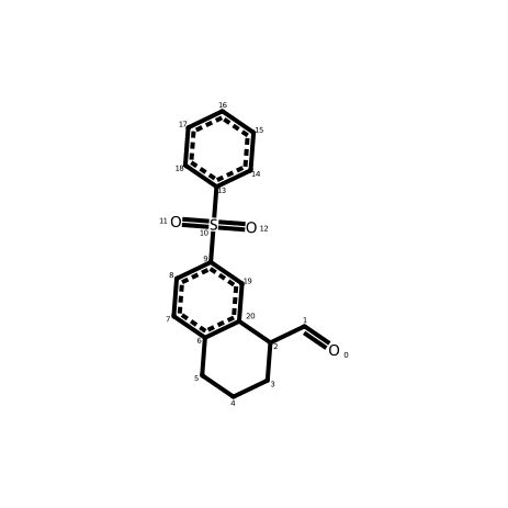 O=CC1CCCc2ccc(S(=O)(=O)c3ccccc3)cc21